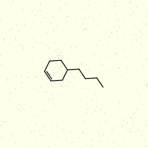 CCCCC1CC=CCC1